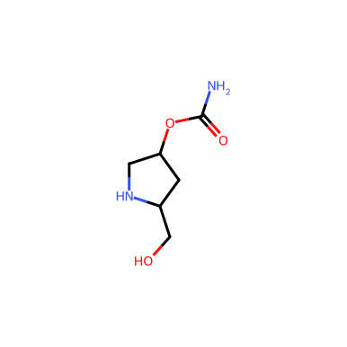 NC(=O)OC1CNC(CO)C1